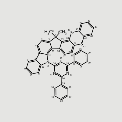 CC1(C)c2ccc3c4ccccc4n(-c4nc(-c5ccccc5)nc(-c5ccccc5)n4)c3c2-c2ccc3c(c21)Sc1ccccc1S3